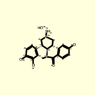 CN(C(=O)c1ccc(Cl)cc1)[C@@H]1CCN(N)C[C@H]1c1ccc(Cl)c(Cl)c1.Cl